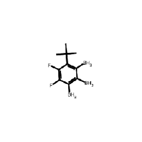 Bc1c(B)c(F)c(F)c(C(C)(C)C)c1B